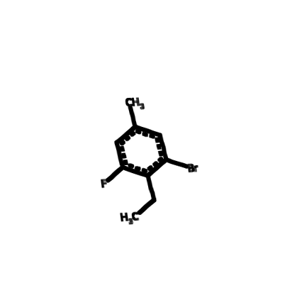 CCc1c(F)cc(C)cc1Br